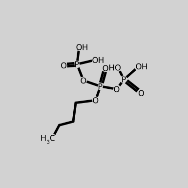 CCCCOP(=O)(OP(=O)(O)O)OP(=O)(O)O